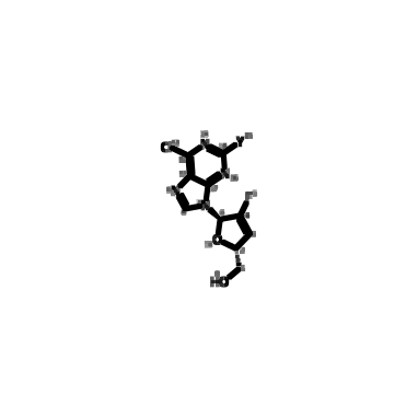 OC[C@H]1C=C(F)[C@H](n2cnc3c(Cl)n[c]([Y])nc32)O1